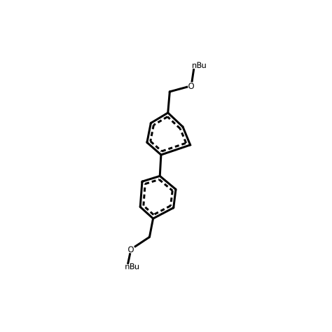 CCCCOCc1ccc(-c2ccc(COCCCC)cc2)cc1